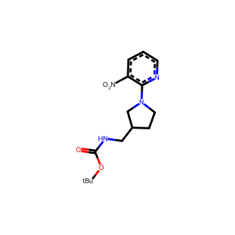 CC(C)(C)OC(=O)NCC1CCN(c2ncccc2[N+](=O)[O-])C1